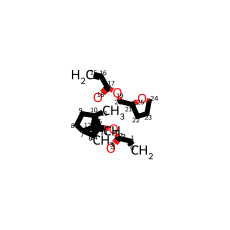 C=CC(=O)OC1CC2CCC1(C)C2(C)C.C=CC(=O)OCC1CCCO1